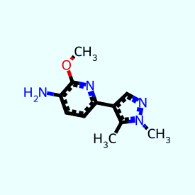 COc1nc(-c2cnn(C)c2C)ccc1N